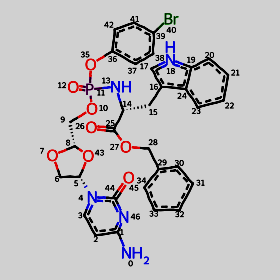 Nc1ccn([C@@H]2CO[C@H](COP(=O)(N[C@H](Cc3c[nH]c4ccccc34)C(=O)OCc3ccccc3)Oc3ccc(Br)cc3)O2)c(=O)n1